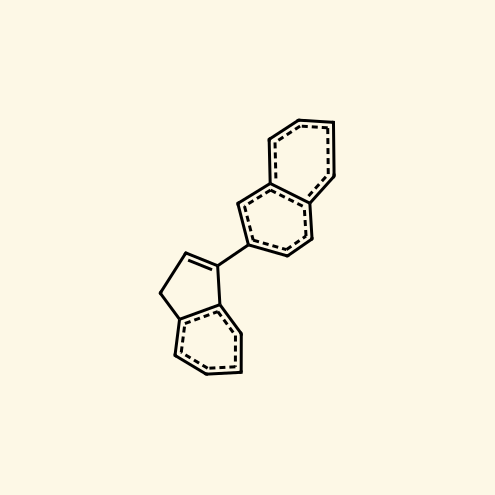 C1=C(c2ccc3ccccc3c2)c2ccccc2C1